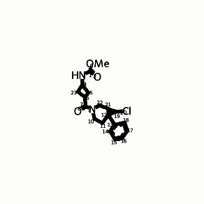 COC(=O)NC1CC(C(=O)N2CCC3(c4ccccc4)C(Cl)C3C2)C1